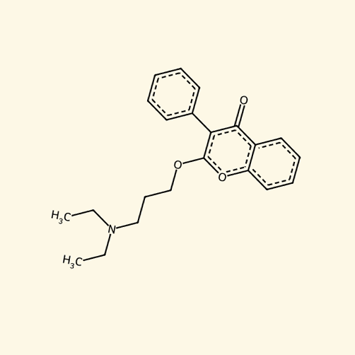 CCN(CC)CCCOc1oc2ccccc2c(=O)c1-c1ccccc1